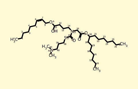 CCCCCC/C=C\COC(O)CCCN(CC(=O)OC(CCCCCCC)CCCCCCC)C(=O)SCCCN(C)C